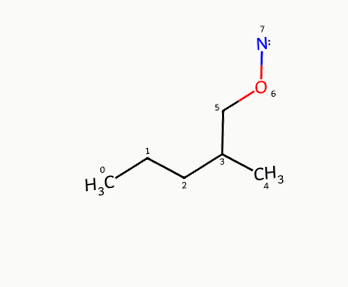 CCCC(C)CO[N]